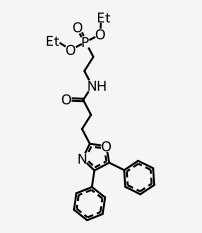 CCOP(=O)(CCNC(=O)CCc1nc(-c2ccccc2)c(-c2ccccc2)o1)OCC